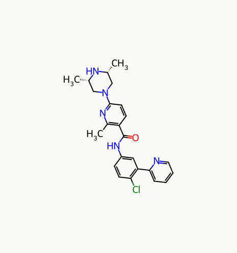 Cc1nc(N2C[C@@H](C)N[C@@H](C)C2)ccc1C(=O)Nc1ccc(Cl)c(-c2ccccn2)c1